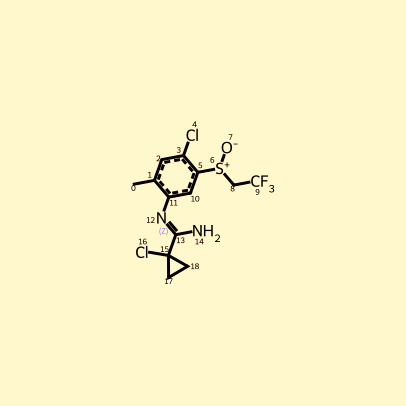 Cc1cc(Cl)c([S+]([O-])CC(F)(F)F)cc1/N=C(\N)C1(Cl)CC1